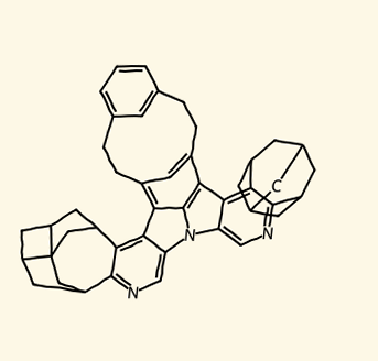 c1cc2cc(c1)CCc1cc(c3c4c5c(ncc4n4c6cnc7c(c6c1c34)C1CC3CC4CC7CC43C1)C1CC3CC(C1)CC5C3)CC2